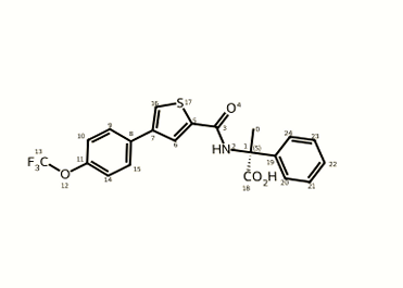 C[C@@](NC(=O)c1cc(-c2ccc(OC(F)(F)F)cc2)cs1)(C(=O)O)c1ccccc1